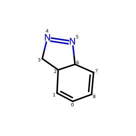 C1=CC2CN=NC2C=C1